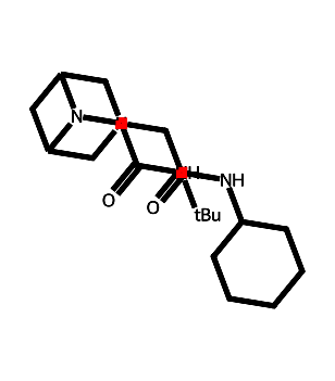 CC(C)(C)NC(=O)CN1C2CC1CN(CC(=O)NC1CCCCC1)C2